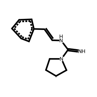 N=C(NC=Cc1ccccc1)N1C[CH]CC1